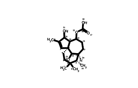 CC1=C[C@@]23CCC(C)(C)[C@@H](C)[C@H](CCC(OC(=O)O)C2C1O)C3O